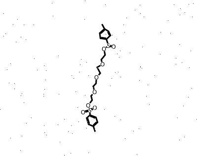 Cc1ccc(S(=O)OCCOCCOCCOCCOS(=O)(=O)c2ccc(C)cc2)cc1